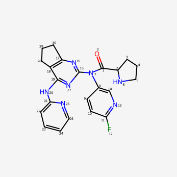 O=C(C1CCCN1)N(c1ccc(F)nc1)c1nc2c(c(Nc3ccccn3)n1)CCC2